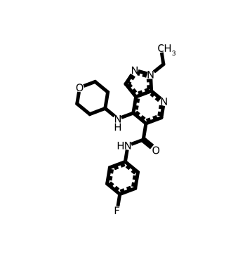 CCn1ncc2c(NC3CCOCC3)c(C(=O)Nc3ccc(F)cc3)cnc21